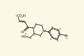 CCOC(=O)C=CC(=O)N1CCN(c2ccc(Br)cc2)CC1CO